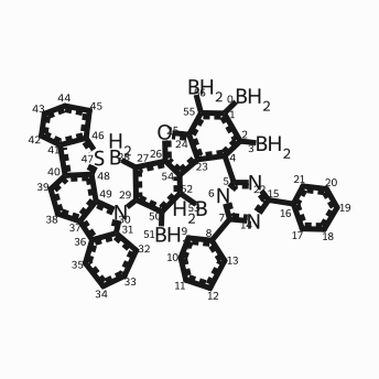 Bc1c(B)c(-c2nc(-c3ccccc3)nc(-c3ccccc3)n2)c2c(oc3c(B)c(-n4c5ccccc5c5ccc6c7ccccc7sc6c54)c(B)c(B)c32)c1B